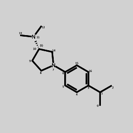 CC(C)c1ccc(N2CC[C@H](N(C)C)C2)cc1